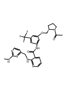 CNc1nccc(CNc2ncccc2C(=O)Nc2cc(OC[C@H]3CCCN3C(C)=O)cc(C(F)(F)F)c2)n1